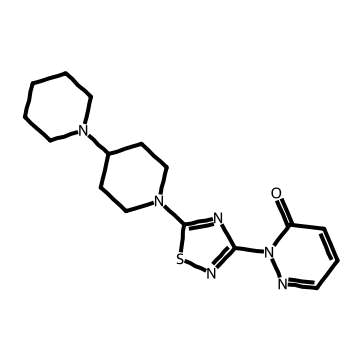 O=c1cccnn1-c1nsc(N2CCC(N3CCCCC3)CC2)n1